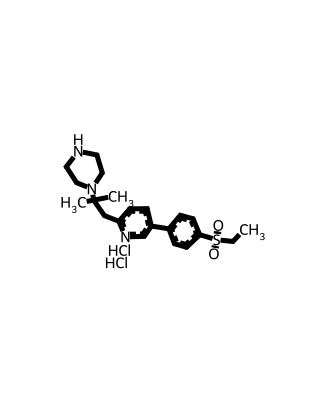 CCS(=O)(=O)c1ccc(-c2ccc(CC(C)(C)N3CCNCC3)nc2)cc1.Cl.Cl